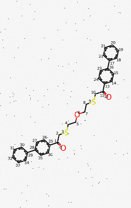 O=C(CSCCOCCSCC(=O)c1ccc(-c2ccccc2)cc1)c1ccc(-c2ccccc2)cc1